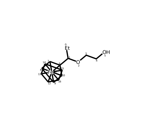 CCC(OCCO)[C]12[CH]3[CH]4[CH]5[CH]1[Fe]45321678[CH]2[CH]1[CH]6[CH]7[CH]28